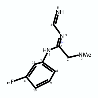 CNC/C(=N/C=N)Nc1cccc(F)c1